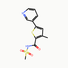 Cc1cc(-c2cccnc2)sc1C(=O)NS(C)(=O)=O